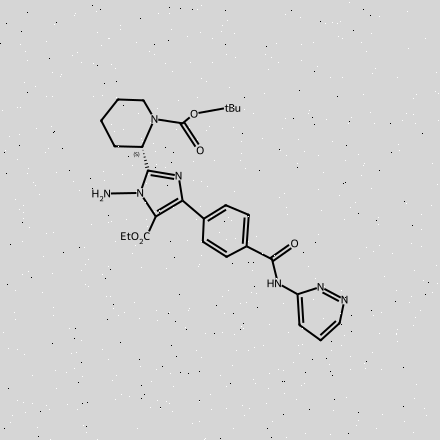 CCOC(=O)c1c(-c2ccc(C(=O)Nc3cccnn3)cc2)nc([C@@H]2CCCCN2C(=O)OC(C)(C)C)n1N